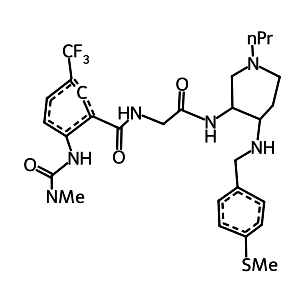 CCCN1CCC(NCc2ccc(SC)cc2)C(NC(=O)CNC(=O)c2cc(C(F)(F)F)ccc2NC(=O)NC)C1